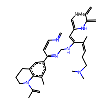 C=CC(=C)NC(=C\NC)/C=C(NC/N=C(\C=C/N=C)c1cc(C)c2c(c1)CCCN2C(=C)C)\C(C)=C/CCN(C)C